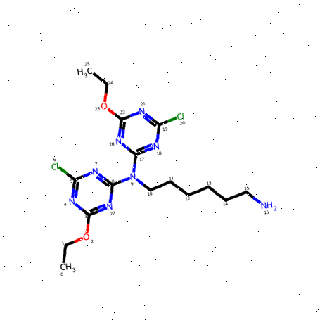 CCOc1nc(Cl)nc(N(CCCCCCN)c2nc(Cl)nc(OCC)n2)n1